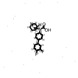 O=C(O)N(c1ccc(-c2ccc(F)c(F)c2)cc1)[C@H]1CN2CCC1CC2